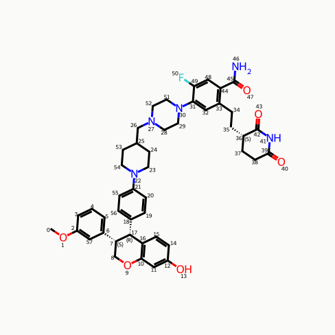 COc1cccc([C@H]2COc3cc(O)ccc3[C@H]2c2ccc(N3CCC(CN4CCN(c5cc(CC[C@H]6CCC(=O)NC6=O)c(C(N)=O)cc5F)CC4)CC3)cc2)c1